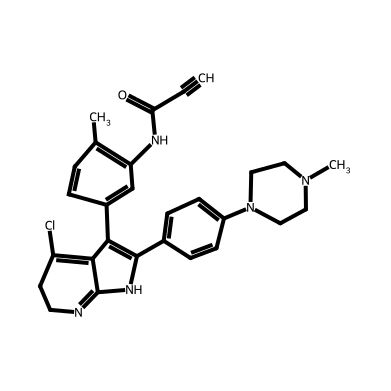 C#CC(=O)Nc1cc(-c2c(-c3ccc(N4CCN(C)CC4)cc3)[nH]c3c2=C(Cl)CCN=3)ccc1C